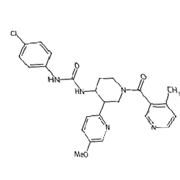 COc1ccc(C2CN(C(=O)c3cnccc3C)CCC2NC(=O)Nc2ccc(Cl)cc2)nc1